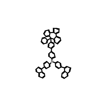 c1ccc(C2(c3ccc(-c4ccc(N(c5ccc(-c6cccc7ccccc67)cc5)c5ccc(-c6cccc7ccccc67)cc5)cc4)cc3)c3ccccc3-c3ccccc3-c3ccccc32)cc1